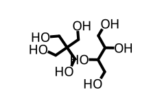 OCC(CO)(CO)CO.OCC(O)C(O)CO